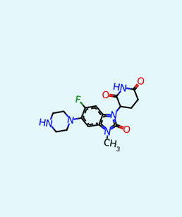 Cn1c(=O)n(C2CCC(=O)NC2=O)c2cc(F)c(N3CCNCC3)cc21